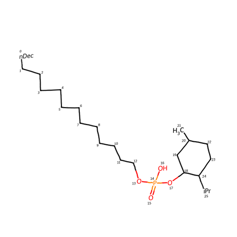 CCCCCCCCCCCCCCCCCCCCCCOP(=O)(O)OC1CC(C)CCC1C(C)C